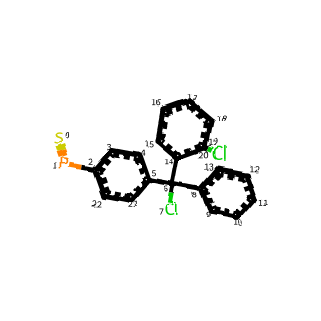 S=Pc1ccc(C(Cl)(c2ccccc2)c2ccccc2Cl)cc1